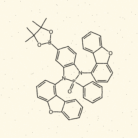 CC1(C)OB(c2ccc3c(c2)N(c2cccc4oc5ccccc5c24)P(=O)(c2ccccc2)N3c2cccc3oc4ccccc4c23)OC1(C)C